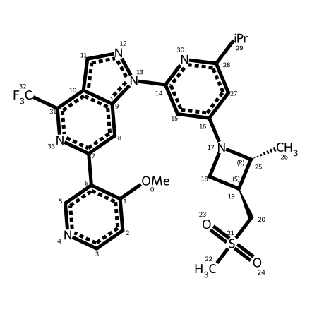 COc1ccncc1-c1cc2c(cnn2-c2cc(N3C[C@H](CS(C)(=O)=O)[C@H]3C)cc(C(C)C)n2)c(C(F)(F)F)n1